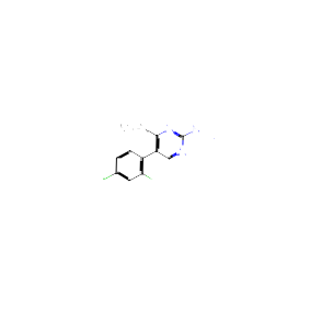 CNc1nc(N)ncc1-c1ccc(Cl)cc1Cl